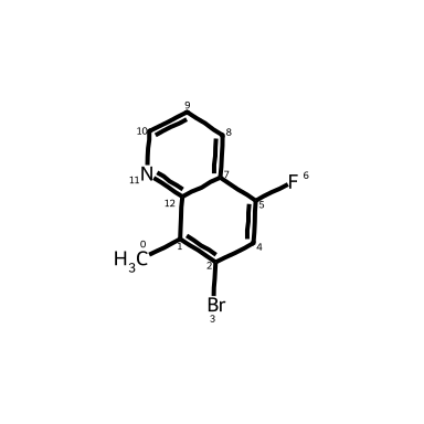 Cc1c(Br)cc(F)c2cccnc12